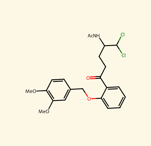 COc1ccc(COc2ccccc2C(=O)CCC(NC(C)=O)C(Cl)Cl)cc1OC